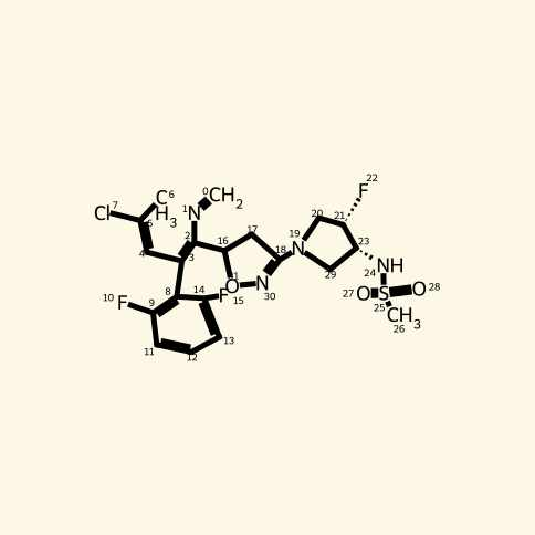 C=N/C(=C(\C=C(/C)Cl)c1c(F)cccc1F)C1CC(N2C[C@H](F)[C@H](NS(C)(=O)=O)C2)=NO1